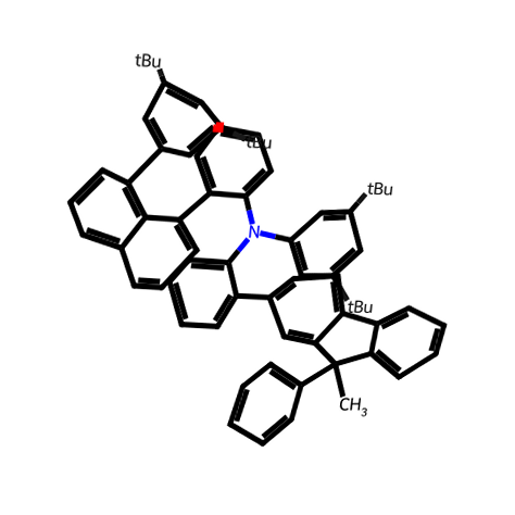 CC(C)(C)c1cc(-c2cccc3cccc(-c4ccccc4N(c4cc(C(C)(C)C)cc(C(C)(C)C)c4)c4ccccc4-c4ccc5c(c4)C(C)(c4ccccc4)c4ccccc4-5)c23)cc(C(C)(C)C)c1